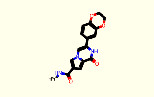 CCCNC(=O)c1cc2c(=O)[nH]c(-c3ccc4c(c3)OCCO4)cn2c1